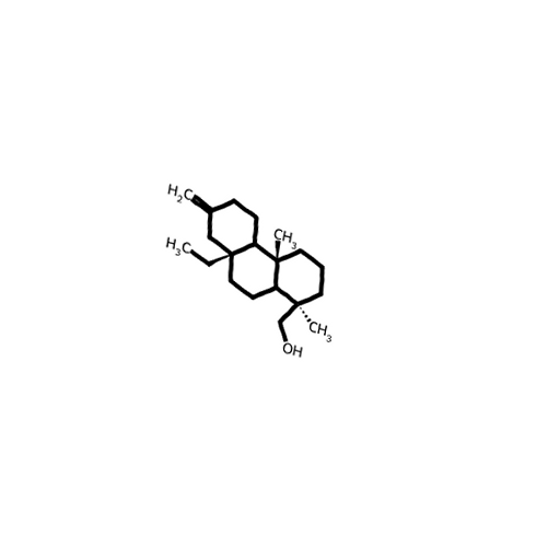 C=C1CCC2[C@](CC)(CCC3[C@](C)(CO)CCC[C@]32C)C1